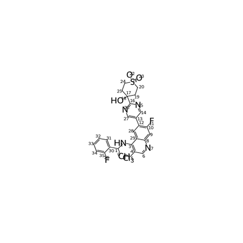 CC(Nc1c(Cl)cnc2cc(F)c(-c3cnc(C4(O)CCS(=O)(=O)CC4)nc3)cc12)c1ccccc1F